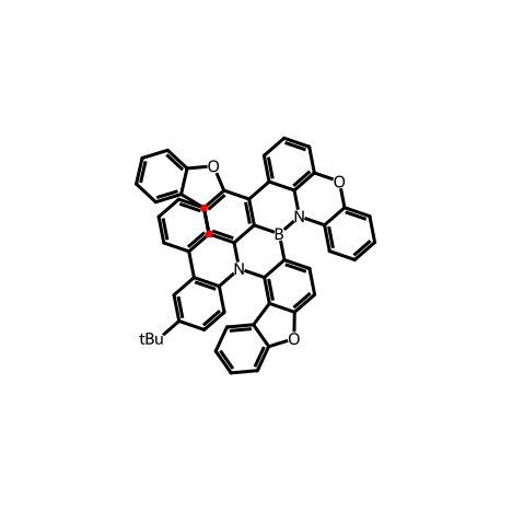 CC(C)(C)c1ccc(N2c3cc4c(oc5ccccc54)c4c3B(c3ccc5oc6ccccc6c5c32)N2c3ccccc3Oc3cccc-4c32)c(-c2ccccc2)c1